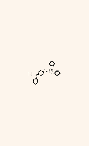 N#CC(=C1C=CC(=NOP(=O)(Oc2ccccc2)Oc2ccccc2)C=C1)c1ccccc1